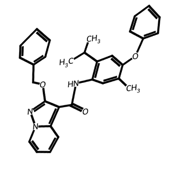 Cc1cc(NC(=O)c2c(OCc3ccccc3)nn3ccccc23)c(C(C)C)cc1Oc1ccccc1